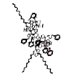 CCCCCCCCCCCC(=O)O[C@H](CCCCCCCCCCC)CC(=O)N[C@H]1[C@H](OC[C@H]2OC(OC(=N)C(Cl)(Cl)Cl)[C@H](NC(=O)C[C@@H](CCCCCCCCCCC)OCc3ccccc3)[C@@H](OCc3ccccc3)[C@@H]2OCc2ccccc2)O[C@H](COCc2ccccc2)[C@@H](OP(=O)(OCc2ccccc2)OCc2ccccc2)[C@@H]1OCc1ccccc1